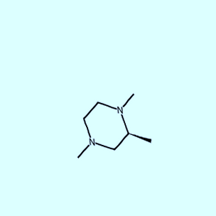 C[C@H]1CN(C)CCN1C